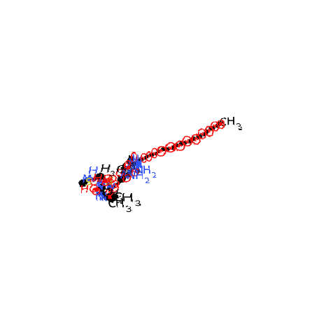 COCCOCCOCCOCCOCCOCCOCCOCCOCCOCCOCCOCCn1cc([C@H](CC(=O)N[C@H](C(=O)N(c2ccc(COC(=O)N(CCOC34CC5(C)CC(C)(CC(Cn6ncc(-c7ccc(N8CCc9cccc(C(=O)Nc%10nc%11ccccc%11s%10)c9C8)nc7C(=O)O)c6C)(C5)C3)C4)CCS(=O)(=O)O)cc2)[C@@H](CCCNC(N)=O)C(N)=O)C(C)C)N2C(=O)C=CC2=O)nn1